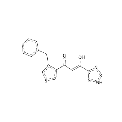 O=C(C=C(O)c1nc[nH]n1)c1cscc1Cc1ccccc1